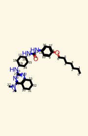 CCCCCCCOc1ccc(NC(=O)N[C@H]2CC[C@@H](Nc3nc4c(c(N(C)C)n3)CCCC4)CC2)cc1